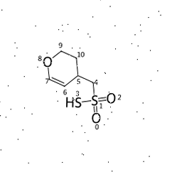 O=S(=O)(S)CC1C=COCC1